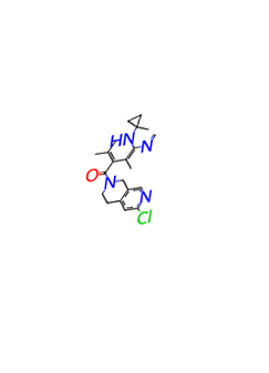 C=N/C(NC1(C)CC1)=C(\C)C(C(=O)N1CCc2cc(Cl)ncc2C1)=C(C)C